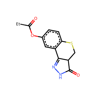 CCC(=O)Oc1ccc2c(c1)C1=NNC(=O)C1CS2